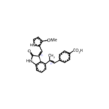 COc1cc[nH]c1/C=C1\C(=O)Nc2cccc(/C(C)=C/c3ccc(C(=O)O)cc3)c21